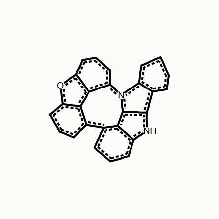 c1cc2oc3cccc4c3c2c(c1)c1cccc2[nH]c3c5ccccc5n4c3c21